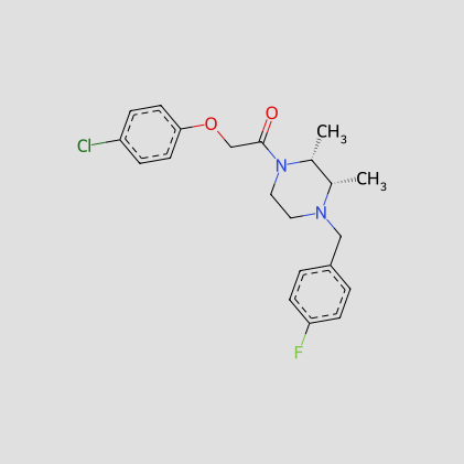 C[C@@H]1[C@H](C)N(Cc2ccc(F)cc2)CCN1C(=O)COc1ccc(Cl)cc1